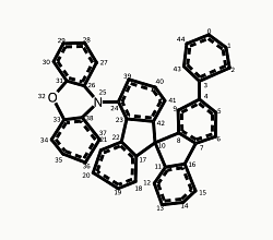 c1ccc(-c2ccc3c(c2)C2(c4ccccc4-3)c3ccccc3-c3c(N4c5ccccc5Oc5ccccc54)cccc32)cc1